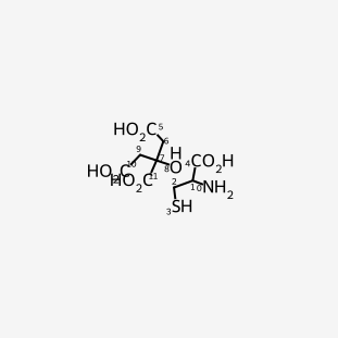 NC(CS)C(=O)O.O=C(O)CC(O)(CC(=O)O)C(=O)O